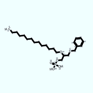 CCCCCCCCCCCCCCOC(COCc1ccccc1)COP(=O)(O)O